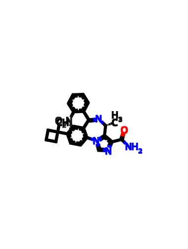 C[C@H]1N=C(c2ccccc2[N+](=O)[O-])c2cc(C3(C)CCC3)ccc2-n2cnc(C(N)=O)c21